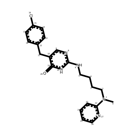 CN(CCCCNc1ncc(Cc2ccc(Cl)cc2)c(=O)[nH]1)c1ccccn1